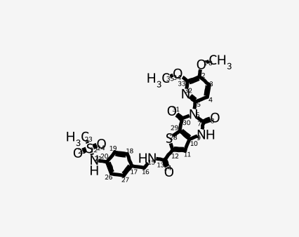 COc1ccc(-n2c(=O)[nH]c3cc(C(=O)NCc4ccc(NS(C)(=O)=O)cc4)sc3c2=O)nc1OC